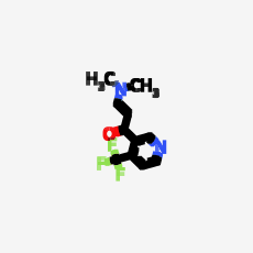 CN(C)C=CC(=O)c1cnccc1C(F)(F)F